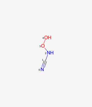 N#CNOO